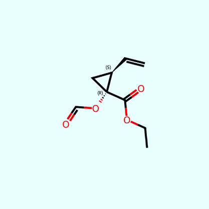 C=C[C@@H]1C[C@]1(OC=O)C(=O)OCC